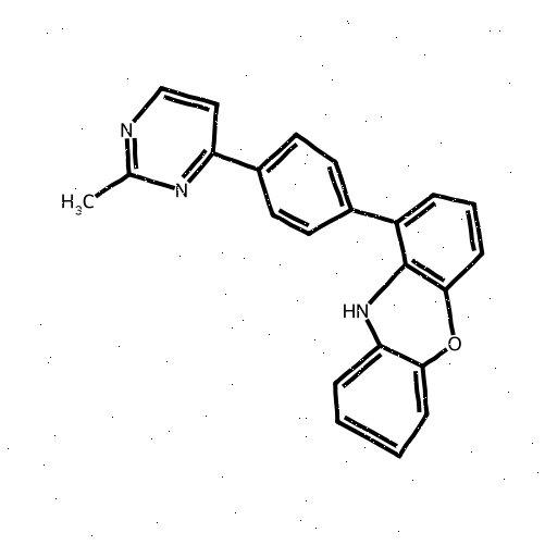 Cc1nccc(-c2ccc(-c3cccc4c3Nc3ccccc3O4)cc2)n1